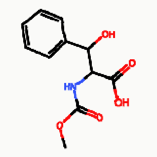 COC(=O)NC(C(=O)O)C(O)c1ccccc1